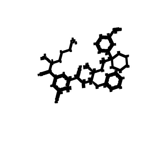 CCCN(CCCC(F)(F)F)C(=O)c1cc(C(=O)N[C@@H](Cc2ccccc2)[C@H](O)CNC2(c3cccc(OC)c3)CCCCC2)[nH]c(=O)c1